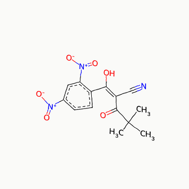 CC(C)(C)C(=O)C(C#N)=C(O)c1ccc([N+](=O)[O-])cc1[N+](=O)[O-]